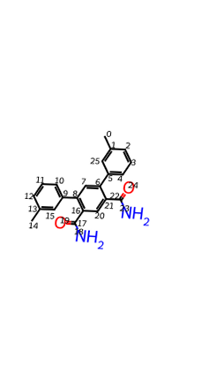 Cc1cccc(-c2cc(-c3cccc(C)c3)c(C(N)=O)cc2C(N)=O)c1